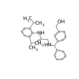 CC(C)c1cccc(C(C)C)c1NC(=O)CNC(c1ccccc1)c1cccc(CO)c1